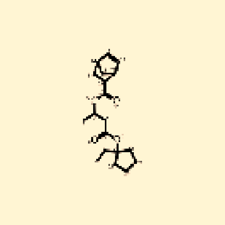 CCC1(OC(=O)CC(C)OC(=O)C2CC3C=CC2C3)CCCC1